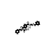 O=C(NCCSCc1ccccc1)c1ccc2c(=O)n(CCC3C=CCCC3)c(=S)[nH]c2c1